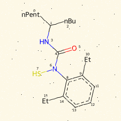 CCCCCC(CCCC)NC(=O)N(S)c1c(CC)cccc1CC